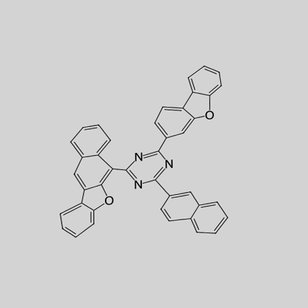 c1ccc2cc(-c3nc(-c4ccc5c(c4)oc4ccccc45)nc(-c4c5ccccc5cc5c4oc4ccccc45)n3)ccc2c1